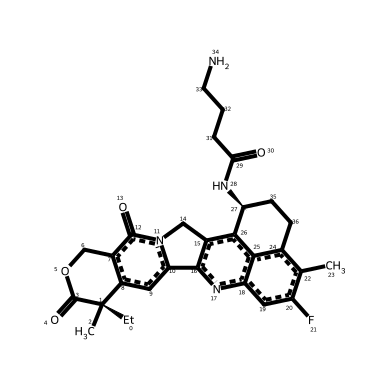 CC[C@@]1(C)C(=O)OCc2c1cc1n(c2=O)Cc2c-1nc1cc(F)c(C)c3c1c2[C@@H](NC(=O)CCCN)CC3